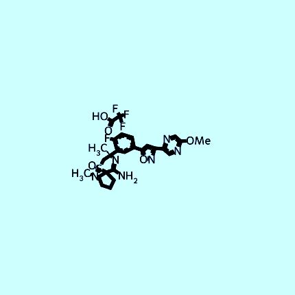 CN=S1(=O)C[C@@](C)(c2cc(-c3cc(-c4cnc(OC)cn4)no3)ccc2F)N=C(N)C12CCCC2.O=C(O)C(F)(F)F